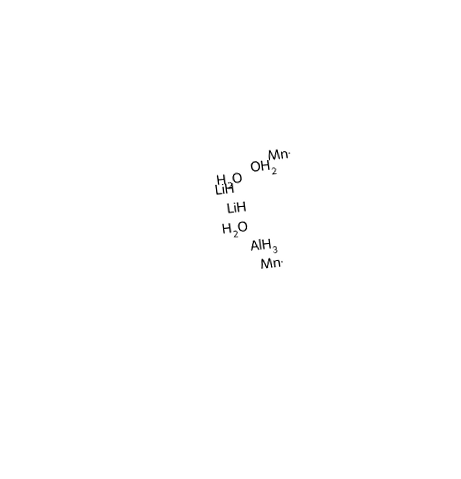 O.O.O.[AlH3].[LiH].[LiH].[Mn].[Mn]